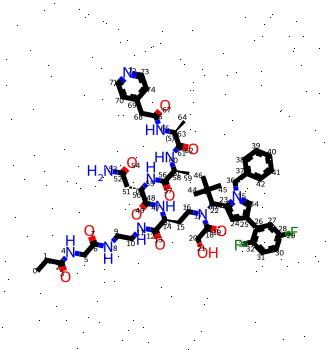 CCC(=O)NCC(=O)NCCNC(=O)[C@H](CCN(C(=O)CO)[C@@H](c1cc(-c2cc(F)ccc2F)cn1Cc1ccccc1)C(C)(C)C)NC(=O)[C@H](CC(N)=O)NC(=O)[C@H](C)NC(=O)[C@H](C)NC(=O)Cc1ccncc1